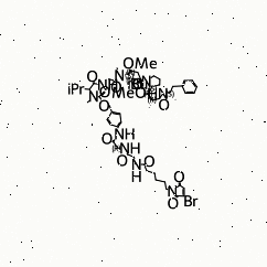 CC[C@@H](C)[C@@H]([C@@H](CC(=O)N1CCC[C@H]1[C@H](OC)[C@@H](C)C(=O)N[C@@H](C)Cc1ccccc1)OC)N(C)C(=O)CNC(=O)C(C(C)C)N(C)C(=O)OCc1ccc(NC(=O)[C@@H](C)NC(=O)CNC(=O)CCCCCN2C(=O)C=C(Br)C2=O)cc1